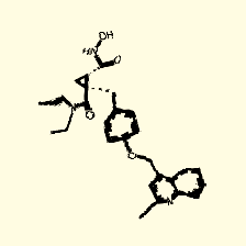 CCN(CC)C(=O)[C@@]1(Cc2ccc(OCc3cc(C)nc4ccccc34)cc2)C[C@@H]1C(=O)NO